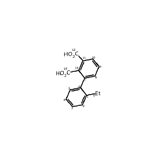 CCc1ccccc1-c1cccc(C(=O)O)c1C(=O)O